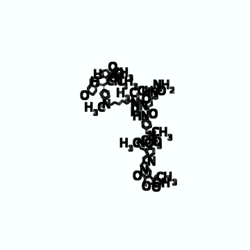 CC[C@@]1(O)C(=O)OCc2c1cc1n(c2=O)Cc2cc3c(CN(C)C)c(OC(=O)N(C)Cc4ccc(NC(=O)[C@H](CCCNC(N)=O)NC(=O)[C@@H](NCCCCCCN(C)c5ccc([C@H]6C[C@@]7(C)[C@@H](CC[C@]7(OC(C)=O)C(C)=O)[C@@H]7CCC8=CC(=O)CCC8=C76)cc5)C(C)C)cc4)ccc3nc2-1